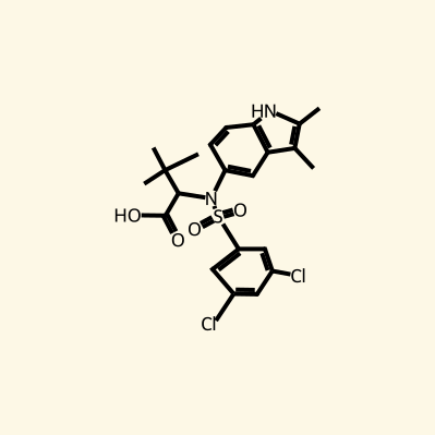 Cc1[nH]c2ccc(N(C(C(=O)O)C(C)(C)C)S(=O)(=O)c3cc(Cl)cc(Cl)c3)cc2c1C